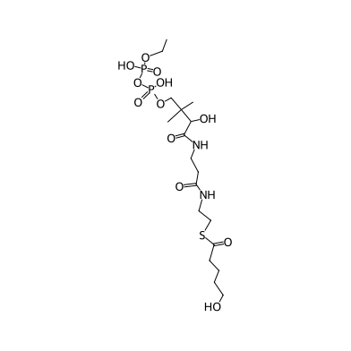 CCOP(=O)(O)OP(=O)(O)OCC(C)(C)C(O)C(=O)NCCC(=O)NCCSC(=O)CCCCO